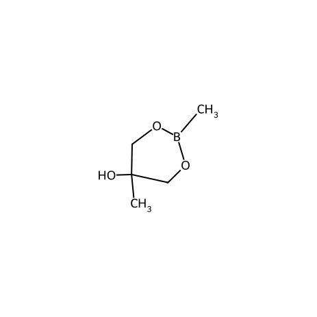 CB1OCC(C)(O)CO1